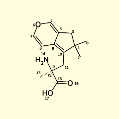 CC1(C)CC2=COC=CC2=C1C[C@](C)(N)C(=O)O